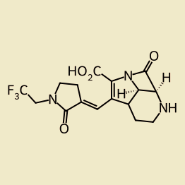 O=C(O)C1=C(/C=C2\CCN(CC(F)(F)F)C2=O)C2CCN[C@@H]3C(=O)N1[C@H]23